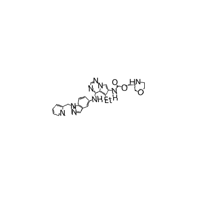 CCc1c(NC(=O)OC[C@@H]2COCCN2)cn2ncnc(Nc3ccc4c(cnn4Cc4ccccn4)c3)c12